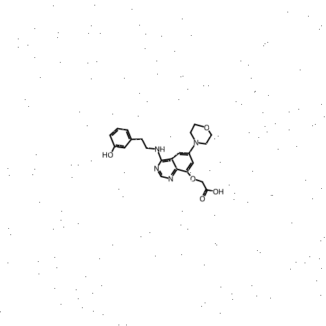 O=C(O)COc1cc(N2CCOCC2)cc2c(NCCc3cccc(O)c3)ncnc12